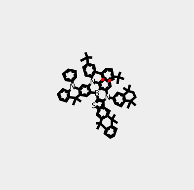 Cc1cc2c3c(c1)N(c1ccc4c(c1)C(C)(C)CCC4(C)C)c1c(sc4cc5c(cc14)C(C)(C)c1ccccc1C5(C)C)B3c1cc3c(cc1N2c1ccc(C(C)(C)C)cc1-c1ccc(C(C)(C)C)cc1)N(c1ccccc1)c1ccccc1C3(C)C